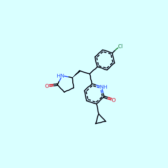 O=C1CC[C@H](CC(c2ccc(Cl)cc2)c2ccc(C3CC3)c(=O)[nH]2)N1